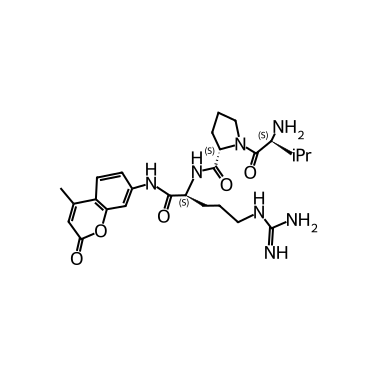 Cc1cc(=O)oc2cc(NC(=O)[C@H](CCCNC(=N)N)NC(=O)[C@@H]3CCCN3C(=O)[C@@H](N)C(C)C)ccc12